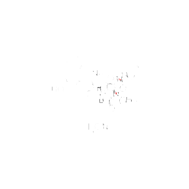 CN1CCC[C@H]1COc1nc(N2CC3CCC(C2)N3C(=O)OC(C)(C)C)c2cnc(-c3cc(O)cc4ccccc34)c(F)c2n1